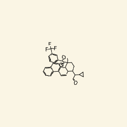 CC1(S(=O)(=O)c2cccc(C(F)(F)F)c2)CCC(C(C=O)C2CC2)C2C=Cc3c(ccc4ccccc34)C21